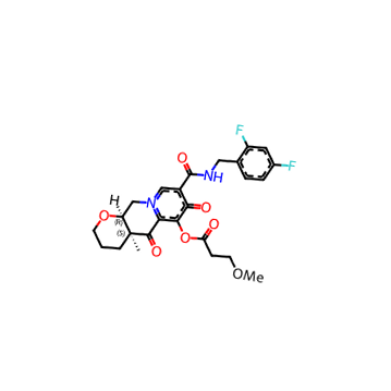 COCCC(=O)Oc1c2n(cc(C(=O)NCc3ccc(F)cc3F)c1=O)C[C@@H]1OCCC[C@]1(C)C2=O